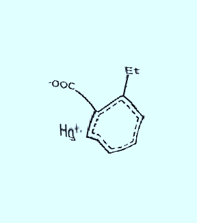 CCc1ccccc1C(=O)[O-].[Hg+]